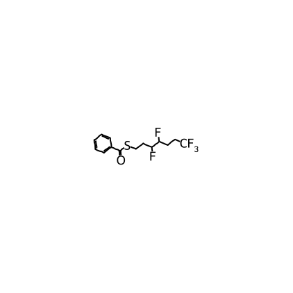 O=C(SCCC(F)C(F)CCC(F)(F)F)c1ccccc1